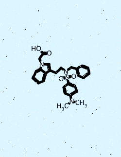 CN(C)c1ccc(S(=O)(=O)N(CCc2cn(CC(=O)O)c3ccccc23)Cc2ccccc2)cc1